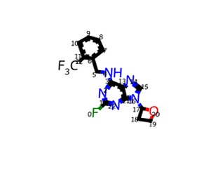 Fc1nc(NCc2ccccc2C(F)(F)F)c2ncn(C3CCO3)c2n1